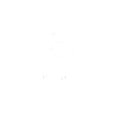 CCc1cc2oc(=O)c(C)c(C)c2cc1CC